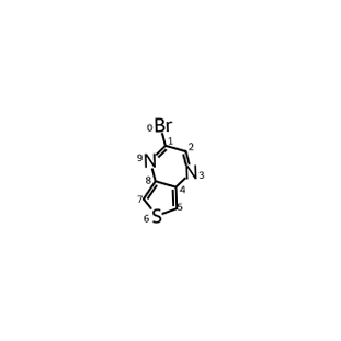 Brc1cnc2cscc2n1